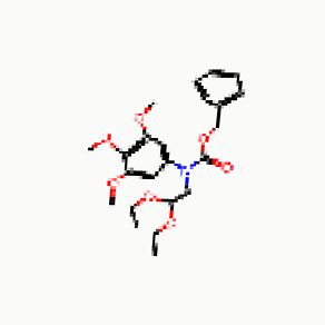 CCOC(CN(C(=O)OCc1ccccc1)c1cc(OC)c(OC)c(OC)c1)OCC